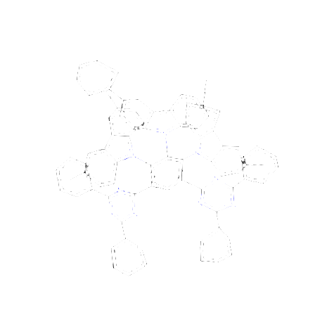 Cc1ccc2c(c1)c1cc(C)ccc1n2-c1c(-c2nc(-c3ccccc3)nc(-c3ccccc3)n2)cc(-c2nc(-c3ccccc3)nc(-c3ccccc3)n2)c(-n2c3ccc(C)cc3c3cc(C)ccc32)c1-n1c2ccccc2c2cc(-c3ccccc3)ccc21